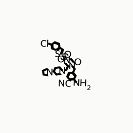 N#Cc1ccc(CN2C(=O)CN(S(=O)(=O)c3cc4ccc(Cl)cc4s3)CC2CN2CCC(N3CCCC3)CC2)cc1N